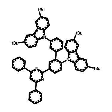 CC(C)(C)c1ccc2c(c1)c1cc(C(C)(C)C)ccc1n2-c1cccc(-c2cc(-c3nc(-c4ccccc4)cc(-c4ccccc4)n3)ccc2-n2c3ccc(C(C)(C)C)cc3c3cc(C(C)(C)C)ccc32)c1